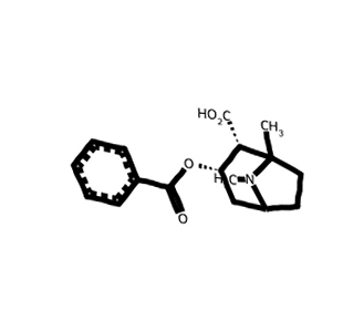 CN1C2CCC1(C)[C@@H](C(=O)O)[C@@H](OC(=O)c1ccccc1)C2